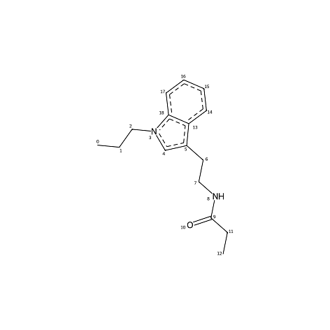 CCCn1cc(CCNC(=O)CC)c2ccccc21